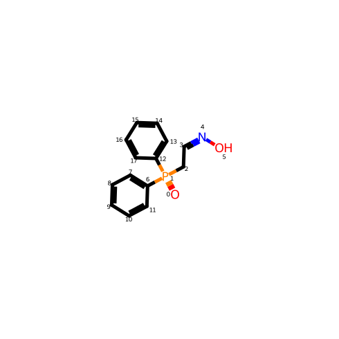 O=P(C/C=N\O)(c1ccccc1)c1ccccc1